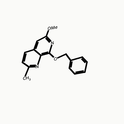 COc1cc2ccc(C)nc2c(OCc2ccccc2)n1